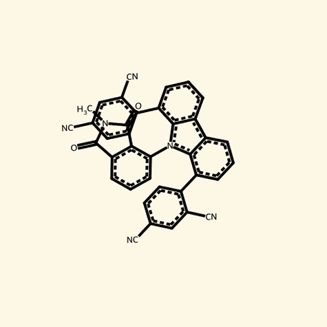 CN1C(=O)c2cccc(-n3c4c(-c5ccc(C#N)cc5C#N)cccc4c4cccc(-c5ccc(C#N)cc5C#N)c43)c2C1=O